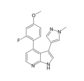 COc1ccc(-c2ccnc3[nH]cc(-c4cnn(C)c4)c23)c(F)c1